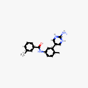 Cc1ccc(NC(=O)c2cccc(C(F)(F)F)c2)cc1-c1cnc(N)nc1